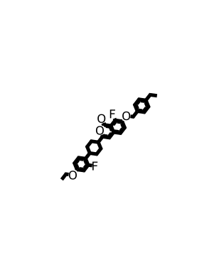 CCOc1ccc(C2CCC(c3cc4ccc(OCc5ccc(CC)cc5)c(F)c4c(=O)o3)CC2)c(F)c1